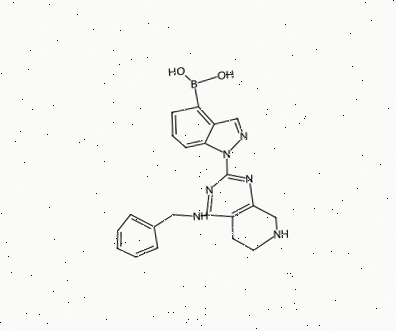 OB(O)c1cccc2c1cnn2-c1nc2c(c(NCc3ccccc3)n1)CCNC2